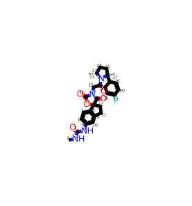 CNC(=O)Nc1ccc2c(c1)CCC21OC(=O)N(CC(=O)N2[C@H](C)CC[C@@]2(C)C2C=CC(F)=CC2)C1=O